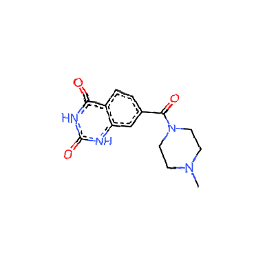 CN1CCN(C(=O)c2ccc3c(=O)[nH]c(=O)[nH]c3c2)CC1